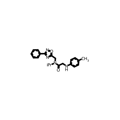 Cc1ccc(NCC(=O)N(Cc2nc(-c3ccccc3)no2)C(C)C)cc1